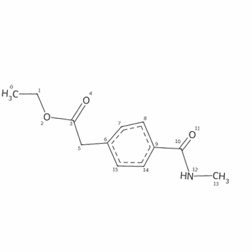 CCOC(=O)Cc1ccc(C(=O)NC)cc1